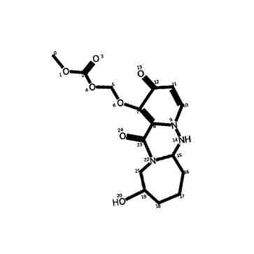 COC(=O)OCOc1c2n(ccc1=O)NC1CCCC(O)CN1C2=O